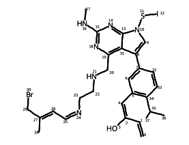 C=C/C(O)=C\c1cc(-c2cn(SI)c3nc(NC)nc(CNCC/N=C\C=C(/C)CBr)c23)ccc1C(C)C